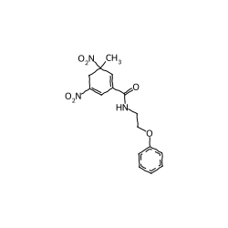 CC1([N+](=O)[O-])C=C(C(=O)NCCOc2ccccc2)C=C([N+](=O)[O-])C1